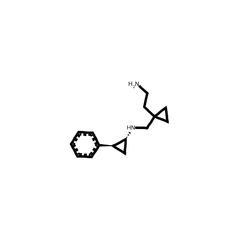 NCCC1(CN[C@@H]2C[C@H]2c2ccccc2)CC1